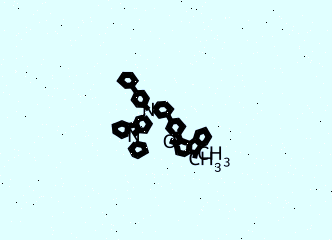 CC1(C)c2ccccc2-c2c1ccc1oc3cc(-c4cccc(N(c5ccc(-c6ccccc6)cc5)c5ccc6c(c5)c5ccccc5n6-c5ccccc5)c4)ccc3c21